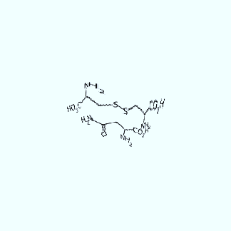 NC(=O)CC(N)C(=O)O.NC(CSSCC(N)C(=O)O)C(=O)O